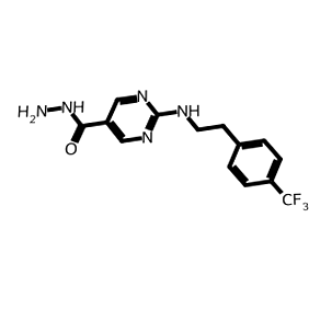 NNC(=O)c1cnc(NCCc2ccc(C(F)(F)F)cc2)nc1